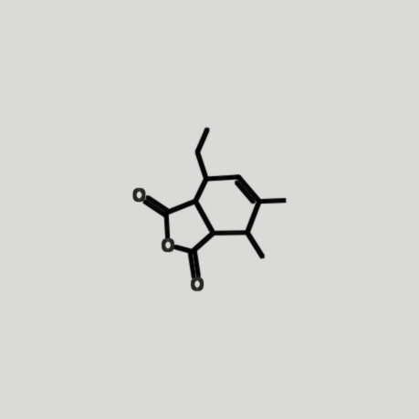 CCC1C=C(C)C(C)C2C(=O)OC(=O)C12